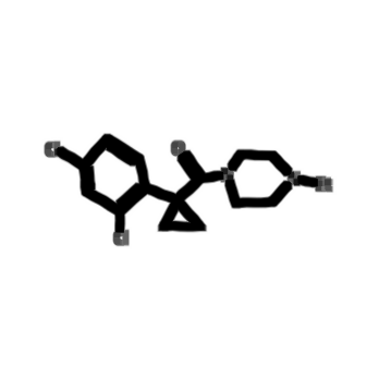 CCN1CCN(C(=O)C2(c3ccc(Cl)cc3Cl)CC2)CC1